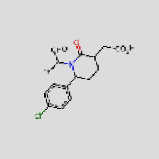 CC[C@@H](C=O)N1C(=O)C(CC(=O)O)CCC1c1ccc(Cl)cc1